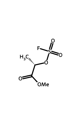 COC(=O)[C@H](C)OS(=O)(=O)F